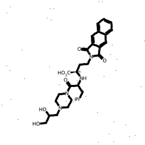 CC(C)CC(N[C@H](CCN1C(=O)c2cc3ccccc3cc2C1=O)C(=O)O)C(=O)N1CCN(CC(O)CO)CC1